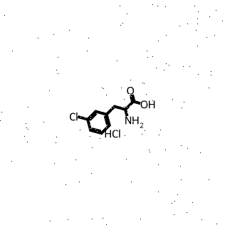 Cl.NC(Cc1cccc(Cl)c1)C(=O)O